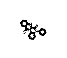 S=c1c2nc3ccccc3c(=S)n2c2ccccc2n1-c1ccccc1